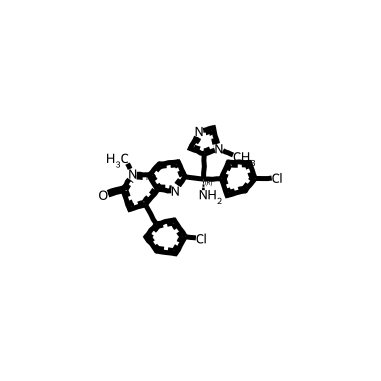 Cn1cncc1[C@@](N)(c1ccc(Cl)cc1)c1ccc2c(n1)c(-c1cccc(Cl)c1)cc(=O)n2C